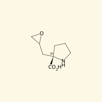 O=C(O)[C@@]1(CC2CO2)CCCN1